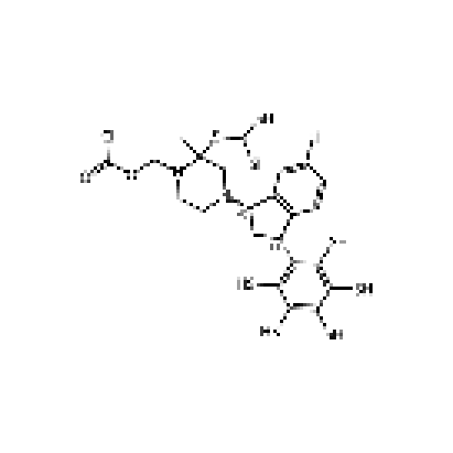 CC1(SC(S)S)CN([C@@H]2C[C@@H](c3c(S)c(S)c(S)c(S)c3S)c3ccc(Cl)cc32)CCN1COC(=O)Cl